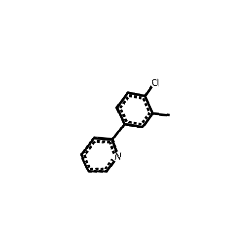 Cc1cc(-c2ccccn2)ccc1Cl